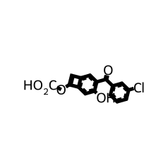 O=C(O)OC1=Cc2cc(C(=O)c3cccc(Cl)c3)c(O)cc21